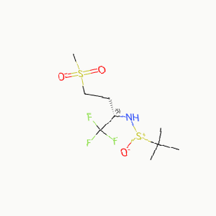 CC(C)(C)[S+]([O-])N[C@@H](CCS(C)(=O)=O)C(F)(F)F